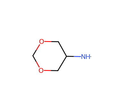 [NH]C1COCOC1